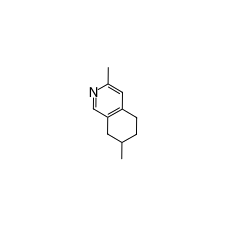 Cc1cc2c(cn1)CC(C)CC2